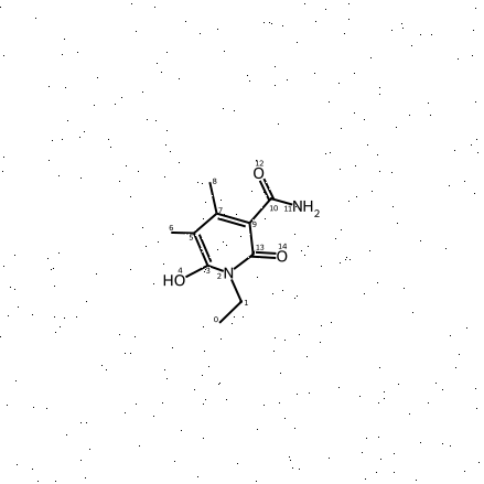 CCn1c(O)c(C)c(C)c(C(N)=O)c1=O